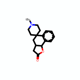 CC(C)(C)N1CCC2(CC1)CC1CC(=O)OC1c1ccccc12